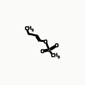 CC/C=C/OS(C)(=O)=O